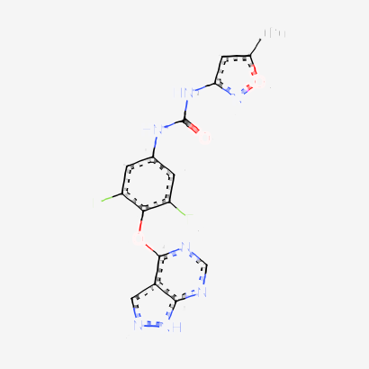 CC(C)(C)c1cc(NC(=O)Nc2cc(F)c(Oc3ncnc4[nH]ncc34)c(F)c2)no1